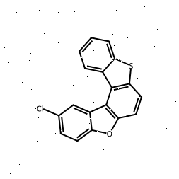 Clc1ccc2oc3ccc4sc5ccccc5c4c3c2c1